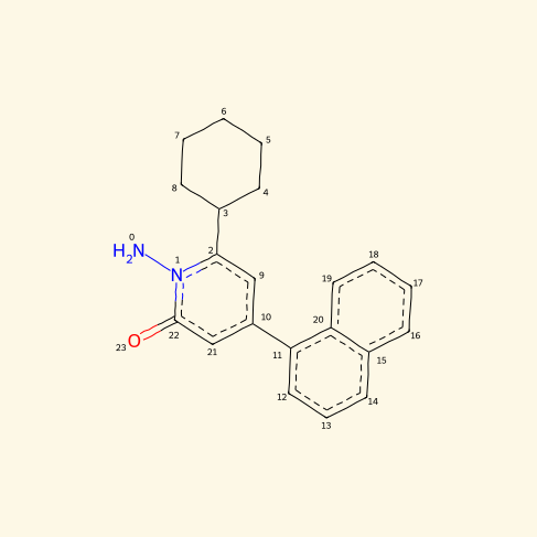 Nn1c(C2CCCCC2)cc(-c2cccc3ccccc23)cc1=O